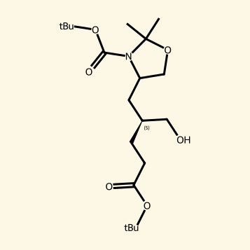 CC(C)(C)OC(=O)CC[C@H](CO)CC1COC(C)(C)N1C(=O)OC(C)(C)C